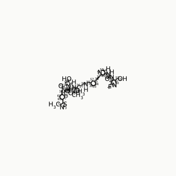 Cc1ncsc1-c1ccc(CNC(=O)[C@@H]2C[C@@H](O)CN2C(=O)[C@@H](NC(=O)CCCNCc2cccc(C#Cc3cc(NC(=O)Nc4cc(F)ncc4CO)ccn3)c2)C(C)(C)C)cc1